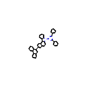 c1ccc(-c2nc(-c3ccccc3)nc(-n3c4ccccc4c4c5ccc(-c6cc7ccccc7c7ccccc67)cc5ccc43)n2)cc1